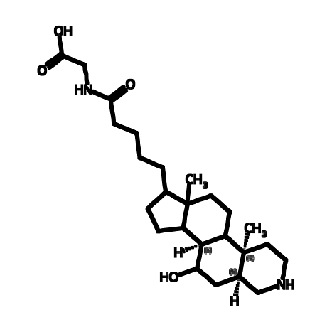 CC12CCC3[C@@H](C(O)C[C@@H]4CNCC[C@]34C)C1CCC2CCCCC(=O)NCC(=O)O